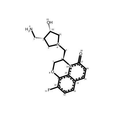 NC[C@H]1CN(C[C@@H]2COc3c(F)ccc4ccc(=O)n2c34)C[C@H]1O